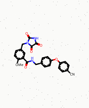 COc1ccc(CN2C(=O)NC(=O)C2=O)cc1C(=O)NCc1ccc(Oc2ccc(C#N)cc2)cc1